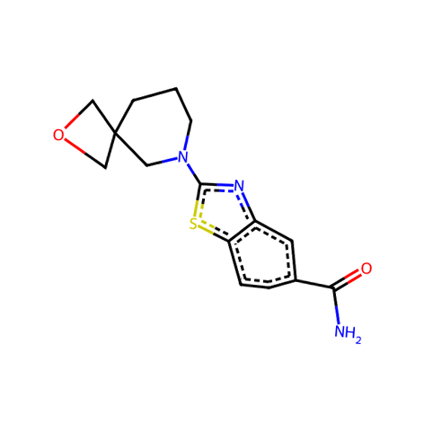 NC(=O)c1ccc2sc(N3CCCC4(COC4)C3)nc2c1